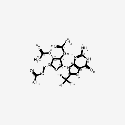 CC(=O)OC[C@H]1O[C@@H](n2c(C(F)(F)F)nc3c(=O)[nH]c(N)nc32)C(OC(C)=O)[C@H]1OC(C)=O